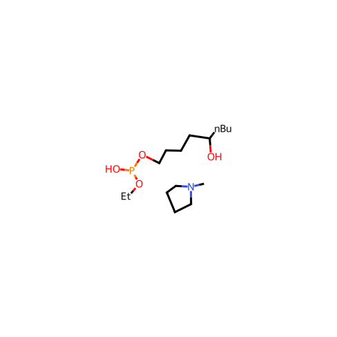 CCCCC(O)CCCCOP(O)OCC.CN1CCCC1